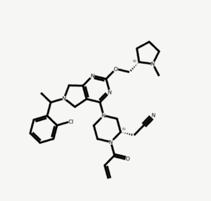 C=CC(=O)N1CCN(c2nc(OC[C@@H]3CCCN3C)nc3c2CN(C(C)c2ccccc2Cl)C3)C[C@@H]1CC#N